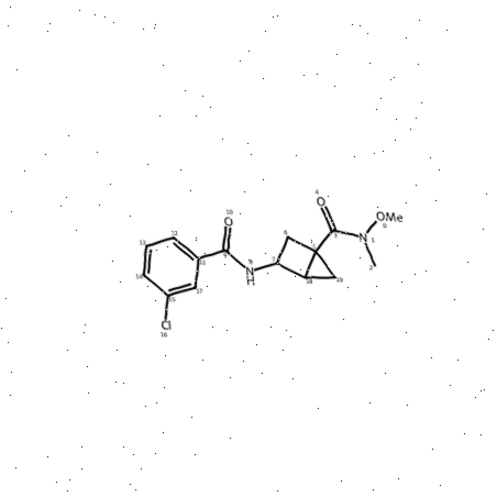 CON(C)C(=O)C12CC(NC(=O)c3cccc(Cl)c3)C1C2